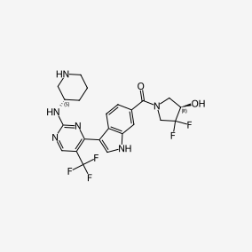 O=C(c1ccc2c(-c3nc(N[C@H]4CCCNC4)ncc3C(F)(F)F)c[nH]c2c1)N1C[C@@H](O)C(F)(F)C1